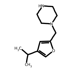 CC(C)c1coc(CN2CCNCC2)c1